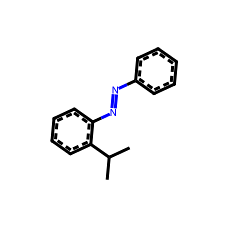 CC(C)c1ccccc1/N=N/c1ccccc1